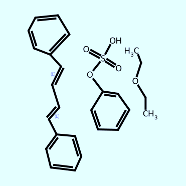 C(/C=C/c1ccccc1)=C\c1ccccc1.CCOCC.O=S(=O)(O)Oc1ccccc1